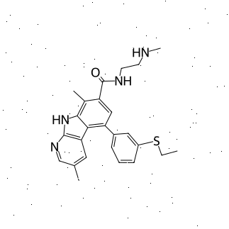 CCSc1cccc(-c2cc(C(=O)NCCNC)c(C)c3[nH]c4ncc(C)cc4c23)c1